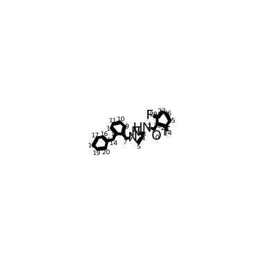 O=C(Nc1ccn(Cc2ccccc2Cc2ccccc2)n1)c1c(F)cccc1F